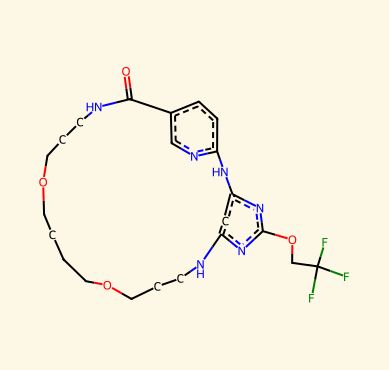 O=C1NCCCOCCCCOCCCNc2cc(nc(OCC(F)(F)F)n2)Nc2ccc1cn2